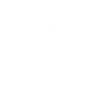 O=CCC1CC(F)C1